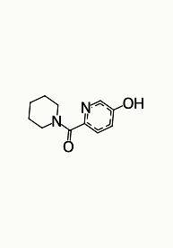 O=C(c1ccc(O)cn1)N1CCCCC1